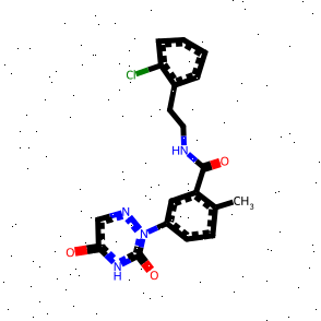 Cc1ccc(-n2ncc(=O)[nH]c2=O)cc1C(=O)NCCc1ccccc1Cl